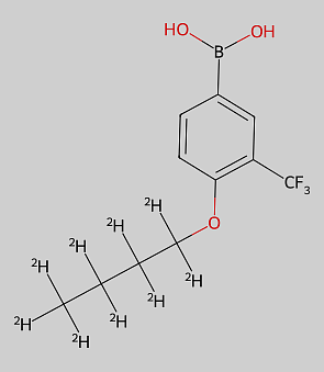 [2H]C([2H])([2H])C([2H])([2H])C([2H])([2H])C([2H])([2H])Oc1ccc(B(O)O)cc1C(F)(F)F